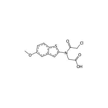 COc1ccc2sc(N(CC(=O)O)C(=O)CCl)cc2c1